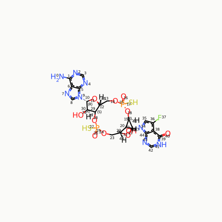 Nc1ncnc2c1ncn2[C@@H]1O[C@@H]2COP(=O)(S)O[C@@H]3[C@H](O)[C@@H](COP(=O)(S)O[C@H]2[C@H]1O)O[C@H]3n1cc(F)c2c(=O)[nH]cnc21